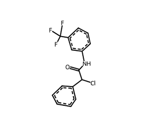 O=C(Nc1cccc(C(F)(F)F)c1)C(Cl)c1ccccc1